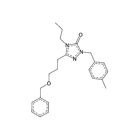 CCCn1c(CCCOCc2ccccc2)nn(Cc2ccc(C)cc2)c1=O